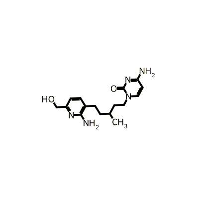 CC(CCc1ccc(CO)nc1N)CCn1ccc(N)nc1=O